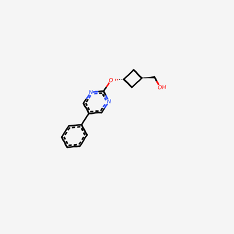 OC[C@H]1C[C@H](Oc2ncc(-c3ccccc3)cn2)C1